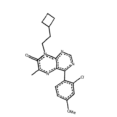 COc1ccc(-c2ncnc3c2nc(C)c(=O)n3CCC2CCC2)c(Cl)c1